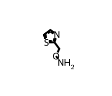 NOCc1nccs1